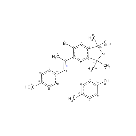 CCc1cc2c(cc1/C(C)=C/c1ccc(C(=O)O)cc1)C(C)(C)CC2(C)C.Nc1ccc(O)cc1